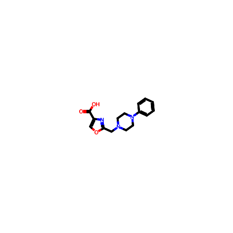 O=C(O)c1coc(CN2CCN(c3ccccc3)CC2)n1